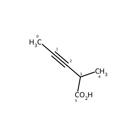 CC#CC(C)C(=O)O